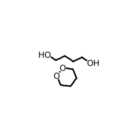 C1CCOOC1.OCCCCO